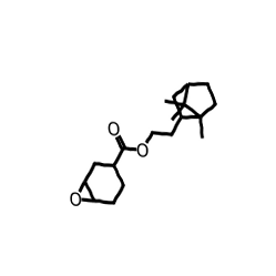 CC1(C)C2CCC1(C)C(CCOC(=O)C1CCC3OC3C1)C2